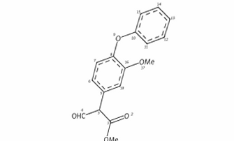 COC(=O)C(C=O)c1ccc(Oc2ccccc2)c(OC)c1